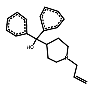 C=CCN1CCC(C(O)(c2ccccc2)c2ccccc2)CC1